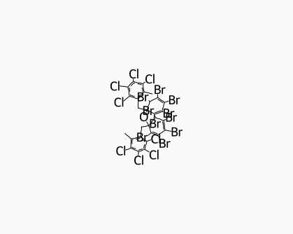 Cc1c(Cl)c(Cl)c(Cl)c(Cl)c1CC1(OC2(Cc3c(C)c(Cl)c(Cl)c(Cl)c3Cl)C(Br)=C(Br)C(Br)=C(Br)C2Br)C(Br)=C(Br)C(Br)=C(Br)C1Br